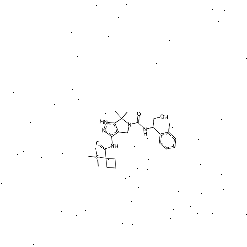 Cc1ccccc1C(CO)NC(=O)N1Cc2c(NC(=O)C3([Si](C)(C)C)CCC3)n[nH]c2C1(C)C